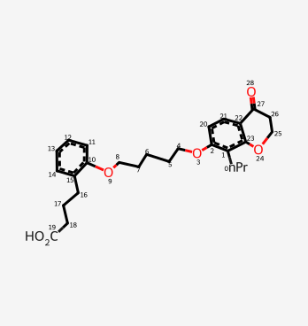 CCCc1c(OCCCCCOc2ccccc2CCCC(=O)O)ccc2c1OCCC2=O